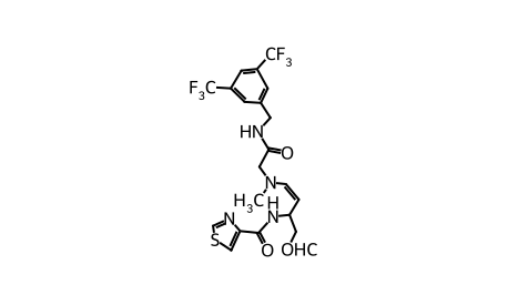 CN(/C=C\C(CC=O)NC(=O)c1cscn1)CC(=O)NCc1cc(C(F)(F)F)cc(C(F)(F)F)c1